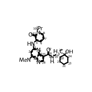 CNc1cc(Nc2cccn(C(C)C)c2=O)nc2c(C(=O)NC[C@H]3CCCC[C@]3(C)O)cnn12